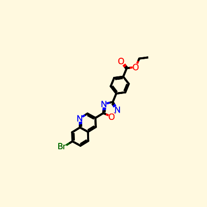 CCOC(=O)c1ccc(-c2noc(-c3cnc4cc(Br)ccc4c3)n2)cc1